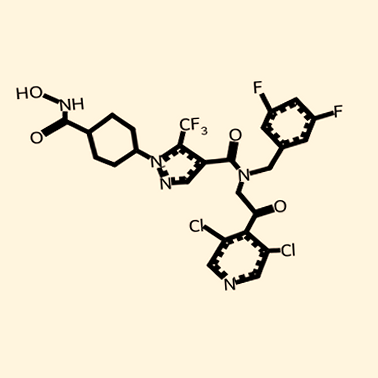 O=C(CN(Cc1cc(F)cc(F)c1)C(=O)c1cnn(C2CCC(C(=O)NO)CC2)c1C(F)(F)F)c1c(Cl)cncc1Cl